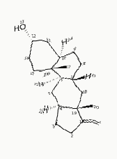 C=C1CC[C@H]2C[C@@H]3[C@H](CC[C@@H]4C[C@@H](O)CC[C@]43C)C[C@]12C